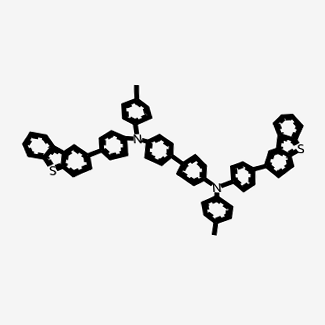 Cc1ccc(N(c2ccc(-c3ccc(N(c4ccc(C)cc4)c4ccc(-c5ccc6sc7ccccc7c6c5)cc4)cc3)cc2)c2ccc(-c3ccc4sc5ccccc5c4c3)cc2)cc1